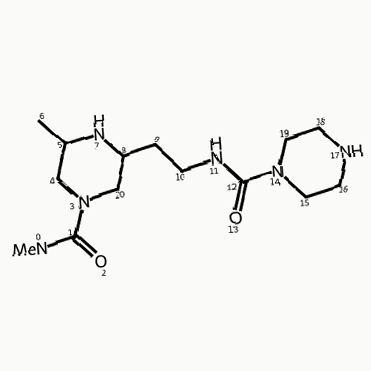 CNC(=O)N1CC(C)NC(CCNC(=O)N2CCNCC2)C1